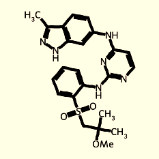 COC(C)(C)CS(=O)(=O)c1ccccc1Nc1nccc(Nc2ccc3c(C)n[nH]c3c2)n1